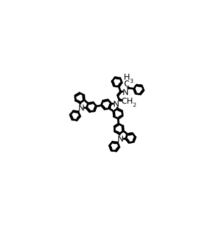 C=C(/C=C(\N=C(/C)c1ccccc1)c1ccccc1)n1c2ccc(-c3ccc4c(c3)c3ccccc3n4-c3ccccc3)cc2c2cc(-c3ccc4c(c3)c3ccccc3n4-c3ccccc3)ccc21